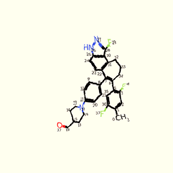 Cc1cc(F)c(C2=C(c3ccc(N4CCC(C=O)CC4)cc3)c3ccc4[nH]nc(F)c4c3CCC2)cc1F